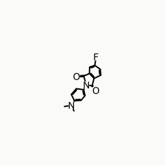 CN(C)c1ccc(N2C(=O)c3ccc(F)cc3C2=O)cc1